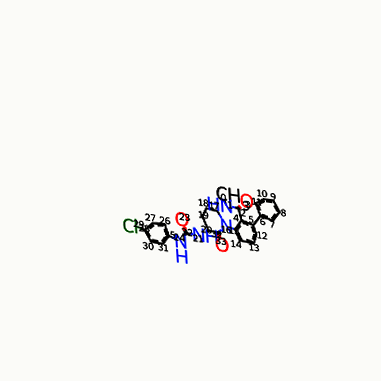 CNC(=O)c1c(-c2ccccc2)cccc1N1CCCC(NC(=O)Nc2ccc(Cl)cc2)C1=O